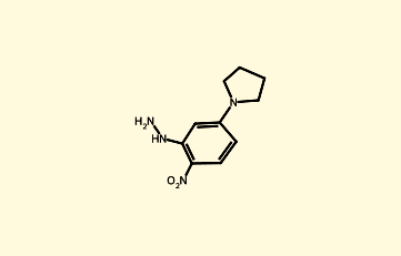 NNc1cc(N2CCCC2)ccc1[N+](=O)[O-]